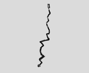 ClCC=CCCCCCCCCCCCl